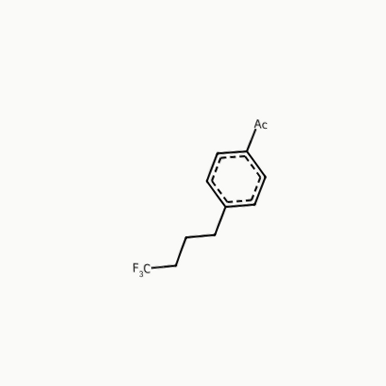 CC(=O)c1ccc(CCCC(F)(F)F)cc1